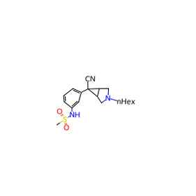 CCCCCCN1CC2C(C1)C2(C#N)c1cccc(NS(C)(=O)=O)c1